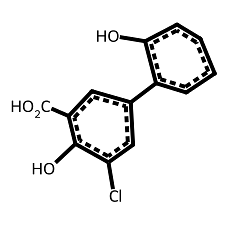 O=C(O)c1cc(-c2ccccc2O)cc(Cl)c1O